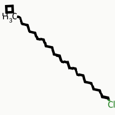 C1CCC1.CCCCCCCCCCCCCCCCCCCCCCCCCl